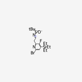 CC[Si](CC)(CC)c1cc(Br)nc(C/C=N/[S+]([O-])C(C)(C)C)c1F